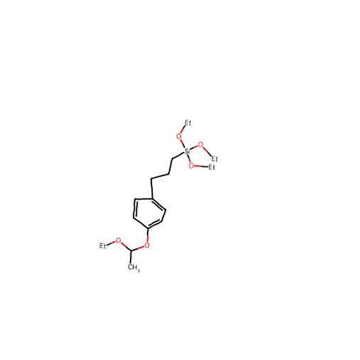 CCOC(C)Oc1ccc(CCC[Si](OCC)(OCC)OCC)cc1